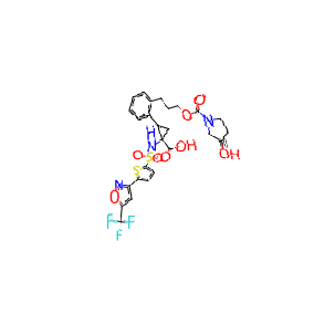 O=C(OCCCc1ccccc1C1CC1(NS(=O)(=O)c1ccc(-c2cc(C(F)(F)F)on2)s1)C(=O)O)N1CC[C@@H](O)C1